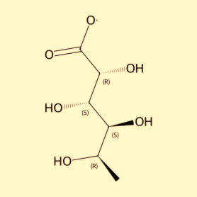 C[C@@H](O)[C@H](O)[C@H](O)[C@@H](O)C([O])=O